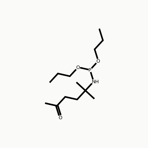 CCCOP(NC(C)(C)CCC(C)=O)OCCC